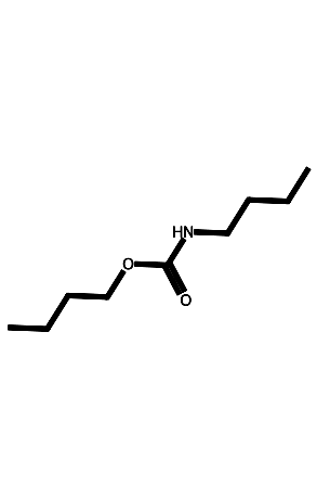 CCCCNC(=O)OCCCC